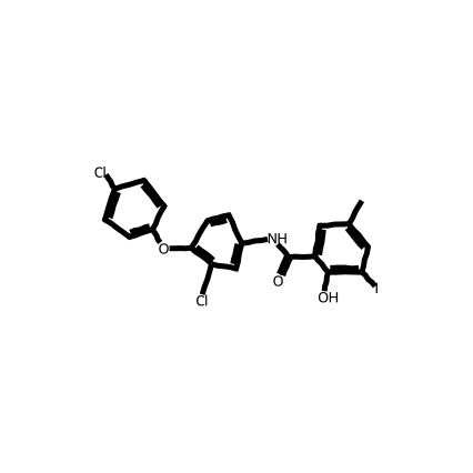 Cc1cc(I)c(O)c(C(=O)Nc2ccc(Oc3ccc(Cl)cc3)c(Cl)c2)c1